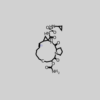 NC(=O)OC1CCCCC/C=C/C2CC2(C(=O)NS(=O)(=O)NC2CC2)NC(=O)C2CCCN2C1=O